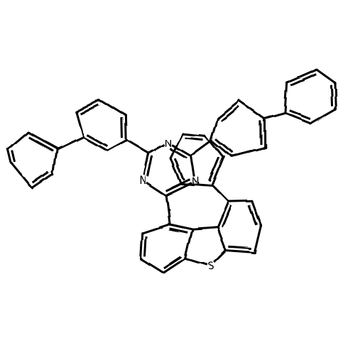 c1ccc(-c2ccc(-c3nc(-c4cccc(-c5ccccc5)c4)nc(-c4cccc5sc6cccc(-c7ccccc7)c6c45)n3)cc2)cc1